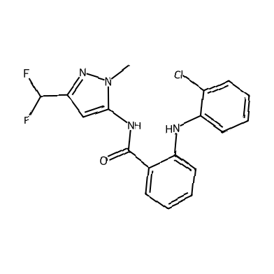 Cn1nc(C(F)F)cc1NC(=O)c1ccccc1Nc1ccccc1Cl